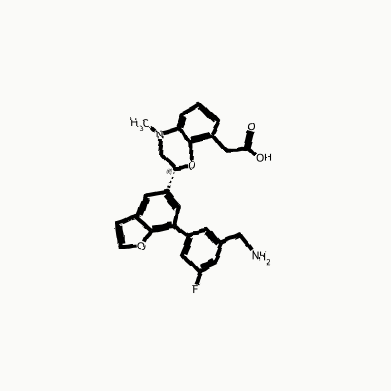 CN1C[C@@H](c2cc(-c3cc(F)cc(CN)c3)c3occc3c2)Oc2c(CC(=O)O)cccc21